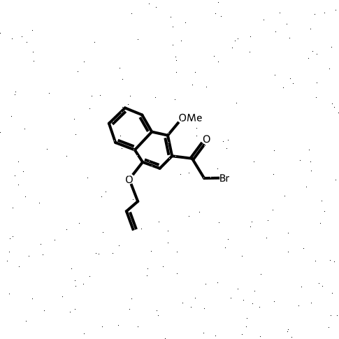 C=CCOc1cc(C(=O)CBr)c(OC)c2ccccc12